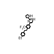 CCc1ccc(CCc2ccc(C3=CCNC(C4CCCN4)=N3)cc2C(F)(F)F)cc1